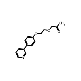 CC(=O)COCCOc1ccc(-c2cccnc2)cc1